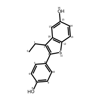 CCc1c(-c2ccc(O)cc2)sc2ccc(O)cc12